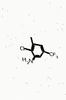 Cc1cc(C(F)(F)F)cc(N)c1Cl